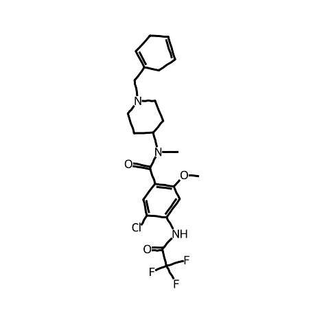 COc1cc(NC(=O)C(F)(F)F)c(Cl)cc1C(=O)N(C)C1CCN(CC2=CCC=CC2)CC1